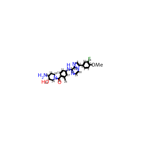 COc1ccc(-c2cnc3c(Nc4ccc(C(=O)N5CC[C@@H](N)[C@@H](O)C5)c(C)c4)nccn23)cc1F